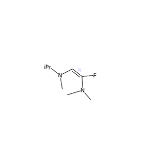 CC(C)N(C)/C=C(/F)N(C)C